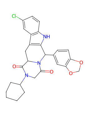 O=C1C2Cc3c([nH]c4ccc(Cl)cc34)C(c3ccc4c(c3)OCO4)N2C(=O)CN1C1CCCCC1